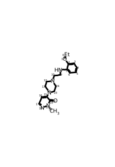 CCOc1ccccc1NCCN1CCN(c2ccnn(C)c2=O)CC1